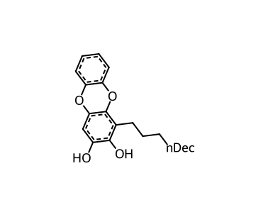 CCCCCCCCCCCCCc1c(O)c(O)cc2c1Oc1ccccc1O2